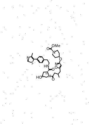 COC(=O)N1CCC(Oc2cc(CC(C)CC(=O)N3C[C@H](O)C[C@H]3C(=O)NCCc3ccc(-c4scnc4C)cc3)on2)CC1